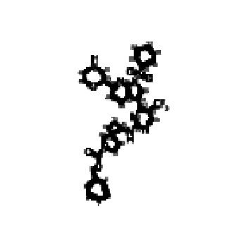 O=C(OCc1ccccc1)N1CCC2(CCC2Nc2ncc(C(F)(F)F)c(-c3cn(S(=O)(=O)c4ccccc4)c4nc(C5CNCCO5)ccc34)n2)C1